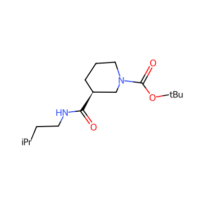 CC(C)CCNC(=O)[C@H]1CCCN(C(=O)OC(C)(C)C)C1